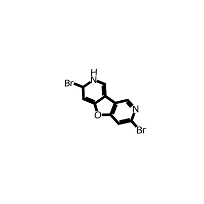 Brc1cc2oc3c(c2cn1)=CNC(Br)C=3